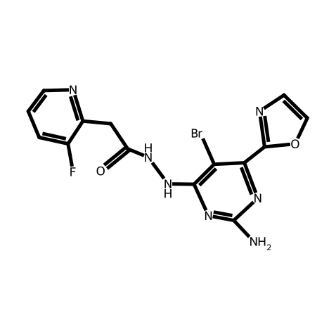 Nc1nc(NNC(=O)Cc2ncccc2F)c(Br)c(-c2ncco2)n1